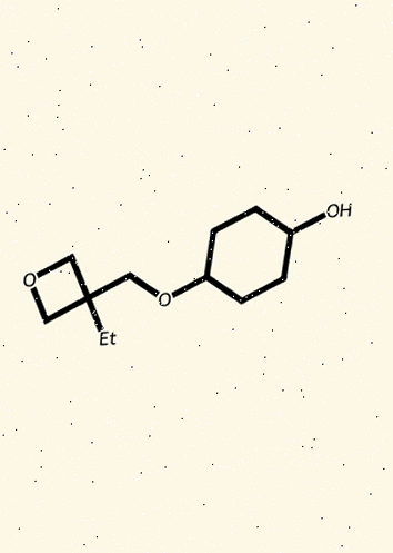 CCC1(COC2CCC(O)CC2)COC1